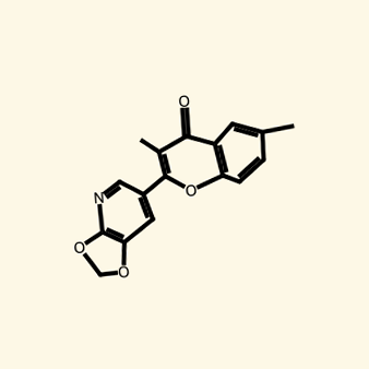 Cc1ccc2oc(-c3cnc4c(c3)OCO4)c(C)c(=O)c2c1